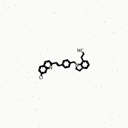 N#CCCc1cccc2c1N(Cc1ccc(C=Cc3ccc4ccc(Cl)cc4n3)cc1)CC2